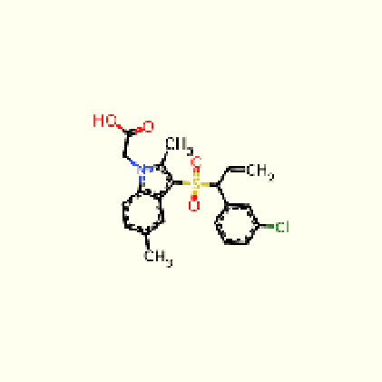 C=CC(c1cccc(Cl)c1)S(=O)(=O)c1c(C)n(CC(=O)O)c2ccc(C)cc12